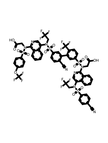 N#Cc1ccc(S(=O)(=O)N(CC(F)(F)F)c2cnc(N(CC(=O)O)S(=O)(=O)c3ccc(C(F)(F)F)c(-c4cc(S(=O)(=O)N(CC(F)(F)F)c5cnc(N(CC(=O)O)S(=O)(=O)c6ccc(OC(F)(F)F)cc6)c6ccccc56)ccc4C#N)c3)c3ccccc23)cc1